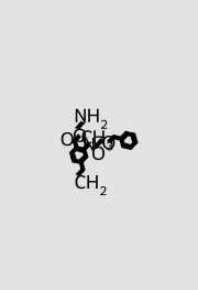 C=CCc1ccc(C(=O)OCCN)c(N(C)C(=O)COCc2ccccc2)c1